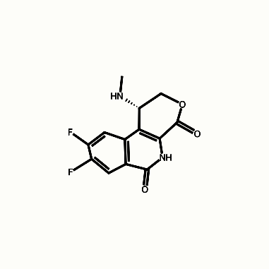 CN[C@@H]1COC(=O)c2[nH]c(=O)c3cc(F)c(F)cc3c21